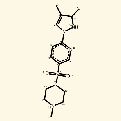 CC1=CN(c2ccc(S(=O)(=O)N3CCN(C)CC3)cn2)NC1C